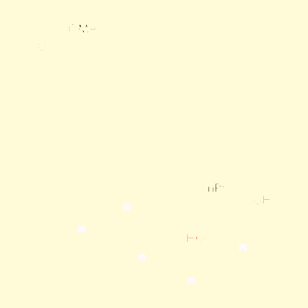 CCCC(O)C/C=C\C(O)/C=C\C/C=C\C/C=C\C/C=C\CCCCCCCCCC(=O)OC